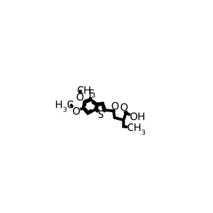 CCC(CC(=O)c1cc2c(F)c(OC)c(OC)cc2s1)C(=O)O